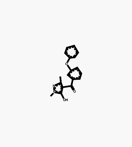 Cc1nn(C)c(O)c1C(=O)c1cccc(Oc2ccccc2)c1